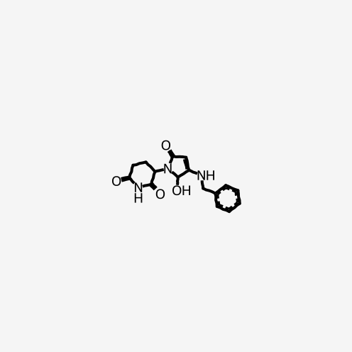 O=C1CCC(N2C(=O)C=C(NCc3ccccc3)C2O)C(=O)N1